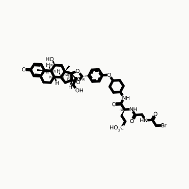 C[C@]12C=CC(=O)C=C1CC[C@@H]1[C@@H]2[C@@H](O)C[C@@]2(C)[C@H]1C[C@H]1O[C@@H](c3ccc(OC4CCC(NC(=O)[C@H](CCC(=O)O)NC(=O)CNC(=O)CBr)CC4)cc3)O[C@]12C(=O)CO